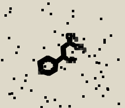 [CH2]CCC(=CN(C)C)c1ccncc1